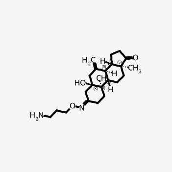 C=C1C[C@@]2(O)CC(=NOCCCN)CC[C@]2(C)[C@H]2CC[C@]3(C)C(=O)CC[C@H]3[C@H]12